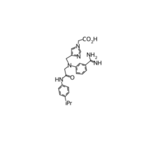 CC(C)c1ccc(NC(=O)CN(Cc2cn(CC(=O)O)cn2)c2cccc(C(=N)N)c2)cc1